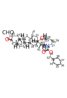 CC1=C2C[C@H]3[C@@H](CC[C@@H]4CC(=O)C(C=O)C[C@@]43C)[C@@H]2CC[C@@]2(C1)O[C@@H]1C[C@H](C)CN(C(=O)OCc3ccccc3)[C@H]1[C@H]2C